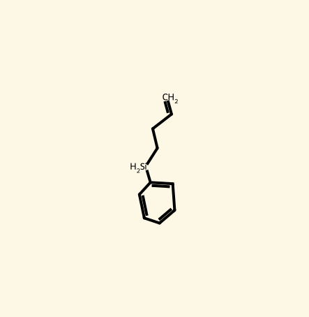 C=CCC[SiH2]c1ccccc1